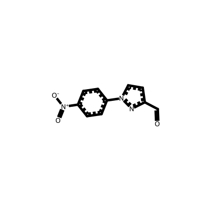 O=Cc1ccn(-c2ccc([N+](=O)[O-])cc2)n1